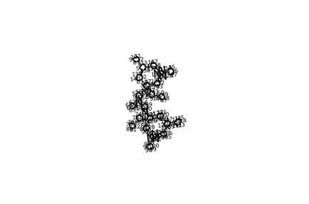 c1ccc(-c2cc(-c3ccccc3)cc(-c3cccc(-c4nc(-c5ccccc5)nc(-c5cccc(-c6cccc7c6c6cc(-c8ccccc8)ccc6n7-c6cccc(N(c7ccccc7)c7cccc(-n8c9ccc(-c%10ccccc%10)cc9c9c(-c%10cccc(-c%11nc(-c%12ccccc%12)nc(-c%12cccc(-c%13cc(-c%14ccccc%14)cc(-c%14ccccc%14)c%13)c%12)n%11)c%10)cccc98)c7)c6)c5)n4)c3)c2)cc1